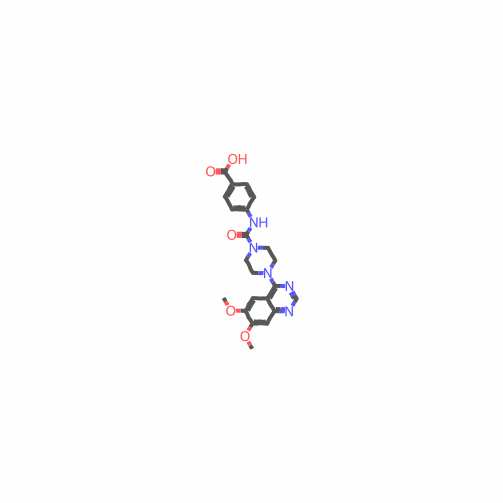 COc1cc2ncnc(N3CCN(C(=O)Nc4ccc(C(=O)O)cc4)CC3)c2cc1OC